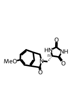 COC1=CC2=CC(C=C1)CN(C[C@@H]1NC(=O)NC1=O)C2=O